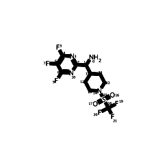 NC(c1nc(F)c(F)c(F)n1)C1CCN(S(=O)(=O)C(F)(F)F)CC1